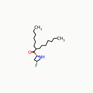 CCCCCCCC(CCCCCC)C(=O)[C@@H]1C[C@H](F)CN1